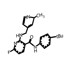 CC1C=C(CNc2nc(F)ccc2C(=O)Nc2ccc(C(C)(C)C)cc2)C=CN1